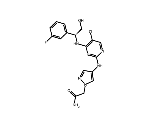 NC(=O)Cn1cc(Nc2ncc(Cl)c(N[C@H](CO)c3cccc(F)c3)n2)cn1